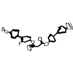 N#Cc1ccc(-c2ccc(OC(=O)CC(=O)Oc3ccc(-c4ccc(OC(F)(F)F)cc4)c(F)c3)cc2)cc1